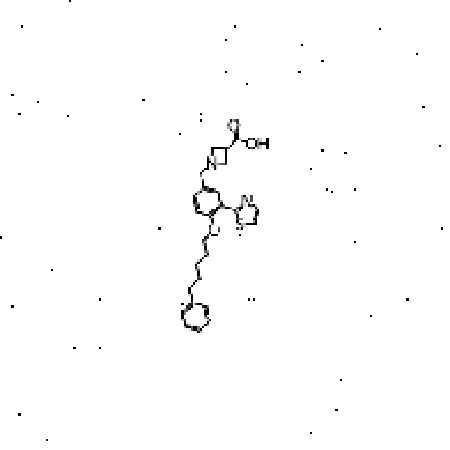 O=C(O)C1CN(Cc2ccc(OCCCCCc3ccccc3)c(-c3nccs3)c2)C1